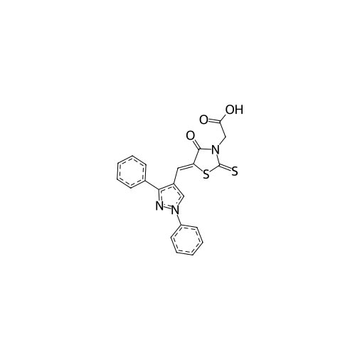 O=C(O)CN1C(=O)/C(=C/c2cn(-c3ccccc3)nc2-c2ccccc2)SC1=S